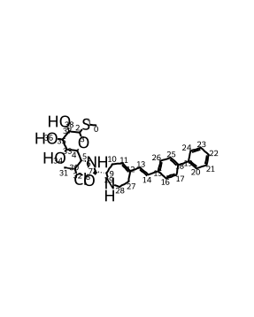 CSC1O[C@H]([C@H](NC(=O)[C@@H]2CC=C(/C=C/c3ccc(-c4ccccc4)cc3)CCN2)[C@H](C)Cl)C(O)C(O)[C@H]1O